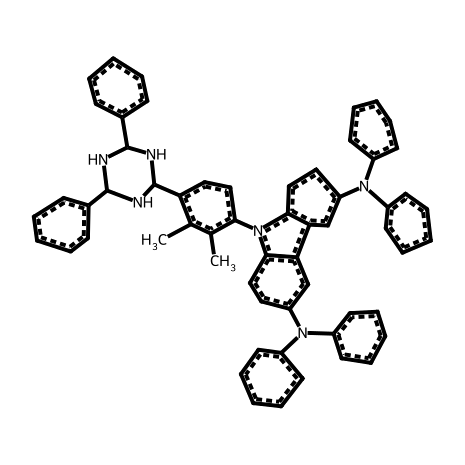 Cc1c(C2NC(c3ccccc3)NC(c3ccccc3)N2)ccc(-n2c3ccc(N(c4ccccc4)c4ccccc4)cc3c3cc(N(c4ccccc4)c4ccccc4)ccc32)c1C